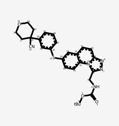 CC(C)(C)OC(=O)NCc1nnc2ccc3cc(Sc4cccc(C5(C#N)CCOCC5)c4)ccc3n12